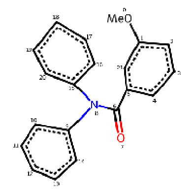 COc1cccc(C(=O)N(c2ccccc2)c2ccccc2)c1